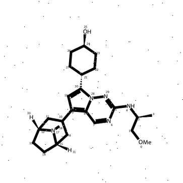 COC[C@H](C)Nc1ncc2c(C3C[C@H]4CC[C@@H](C3)N4C)cc([C@H]3CC[C@H](O)CC3)n2n1